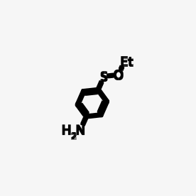 CCOSc1ccc(N)cc1